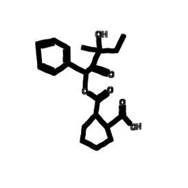 CCC(C)(O)C(=O)C(OC(=O)C1CCCCC1C(=O)O)c1ccccc1